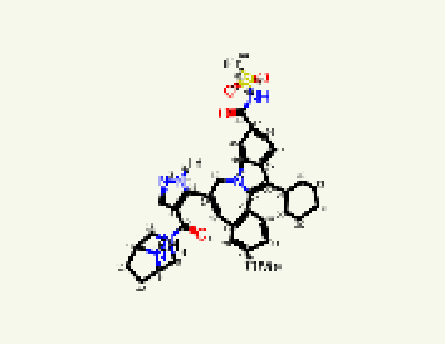 CCn1ncc(C(=O)N2CC3CCC(C2)N3C)c1C1=Cc2cc(OC)ccc2-c2c(C3CCCCC3)c3ccc(C(=O)NS(=O)(=O)C(C)C)cc3n2C1